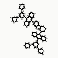 C1=C(c2c3ccccc3c(-c3cc(-c4cccnc4)cc(-c4cccnc4)c3)c3ccccc23)c2sc3cc(-c4c5ccccc5c(-c5cc(-c6cccnc6)cc(-c6cccnc6)c5)c5ccccc45)ccc3c2CC1